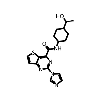 C[C@H](O)C1CCC(NC(=O)c2nc(-n3ccnc3)nc3ccsc23)CC1